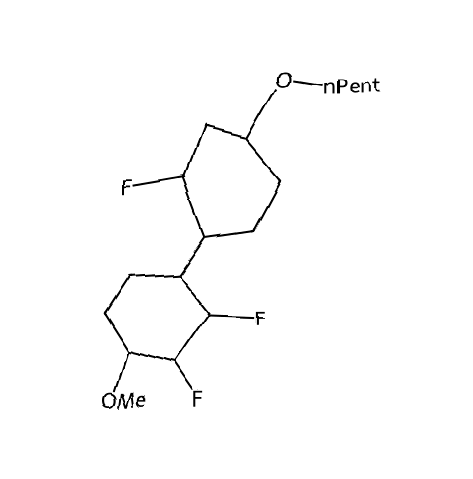 CCCCCOC1CCC(C2CCC(OC)C(F)C2F)C(F)C1